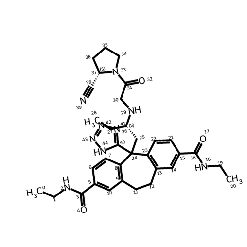 CCNC(=O)c1ccc2c(c1)CCc1cc(C(=O)NCC)ccc1C2(C[C@H](CC)NCC(=O)N1CCC[C@H]1C#N)c1nnn[nH]1